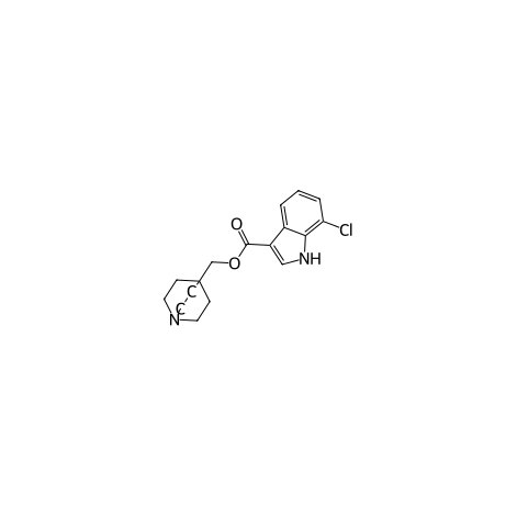 O=C(OCC12CCN(CC1)CC2)c1c[nH]c2c(Cl)cccc12